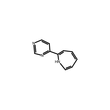 C1=CC=C(c2ccncn2)NC=C1